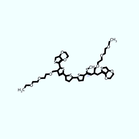 CCOCCOCCOCC(/C=C(\SC)C1CCC(C2CCC(C3=CC(COCCOCCOCC)C(C4=C5OCCOC5CS4)S3)S2)S1)CC1=C2OCCOC2CS1